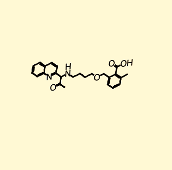 CC(=O)C(NCCCCOCc1cccc(C)c1C(=O)O)c1ccc2ccccc2n1